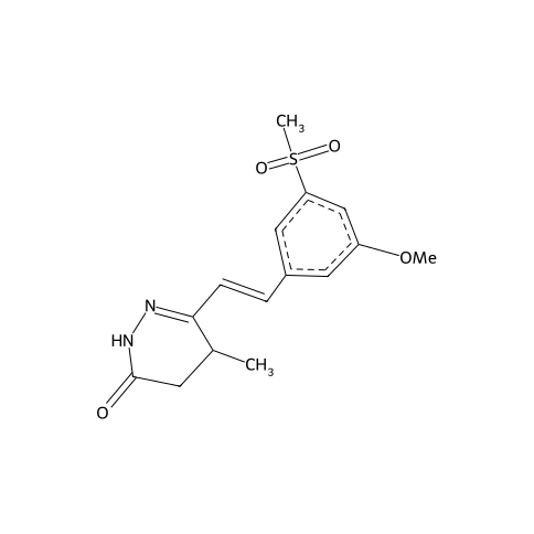 COc1cc(C=CC2=NNC(=O)CC2C)cc(S(C)(=O)=O)c1